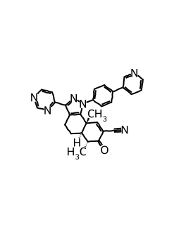 C[C@H]1C(=O)C(C#N)=C[C@@]2(C)c3c(c(-c4ccncn4)nn3-c3ccc(-c4cccnc4)cc3)CC[C@H]12